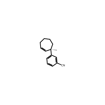 C[C@]1(c2cccc(C#N)c2)C=CCCCC1